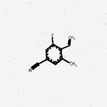 C=Cc1c(C)cc(C#N)cc1F